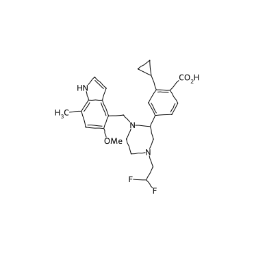 COc1cc(C)c2[nH]ccc2c1CN1CCN(CC(F)F)CC1c1ccc(C(=O)O)c(C2CC2)c1